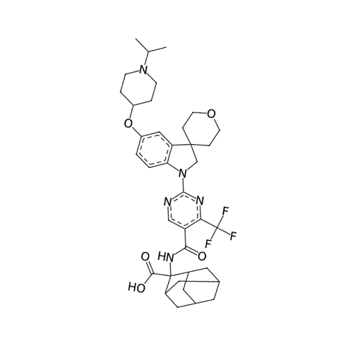 CC(C)N1CCC(Oc2ccc3c(c2)C2(CCOCC2)CN3c2ncc(C(=O)NC3(C(=O)O)C4CC5CC(C4)CC3C5)c(C(F)(F)F)n2)CC1